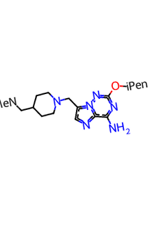 CCCC(C)Oc1nc(N)c2ncc(CN3CCC(CNC)CC3)n2n1